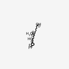 CS(=O)(=O)C(CCCCCCC(=O)O)CCCC(O)COc1cccc(C(F)(F)F)c1